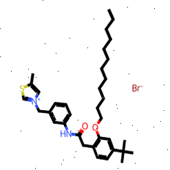 CCCCCCCCCCCCOc1cc(C(C)(C)C)ccc1CC(=O)Nc1cccc(C[n+]2csc(C)c2)c1.[Br-]